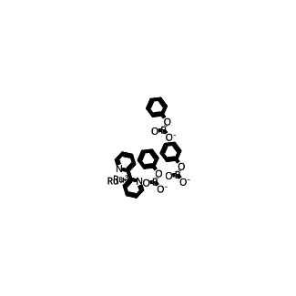 [O-]B([O-])Oc1ccccc1.[O-]B([O-])Oc1ccccc1.[O-]B([O-])Oc1ccccc1.[Ru+3].[Ru+3].c1ccc(-c2ccccn2)nc1